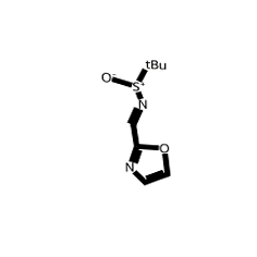 CC(C)(C)[S+]([O-])/N=C/c1ncco1